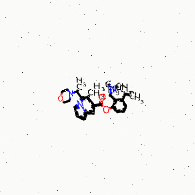 Cc1c(C(=O)Oc2cccc(C(C)C)c2CN(C)C)cc2cccn2c1C(C)N1CCOCC1